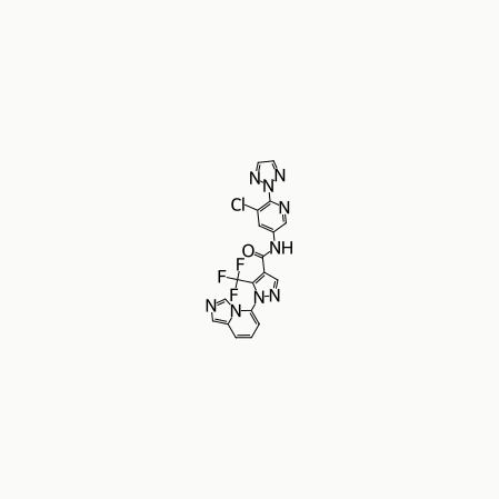 O=C(Nc1cnc(-n2nccn2)c(Cl)c1)c1cnn(-c2cccc3cncn23)c1C(F)(F)F